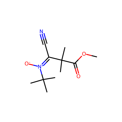 COC(=O)C(C)(C)/C(C#N)=[N+](/[O-])C(C)(C)C